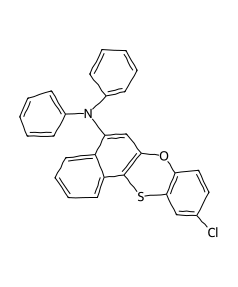 Clc1ccc2c(c1)Sc1c(cc(N(c3ccccc3)c3ccccc3)c3ccccc13)O2